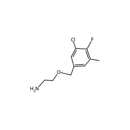 Cc1cc(COCCN)cc(Cl)c1F